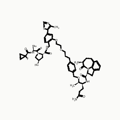 Cc1ncsc1-c1ccc(CNC(=O)[C@@H]2C[C@@H](O)CN2C(=O)[C@@H](NC(=O)C2(F)CC2)C(C)(C)C)c(OCCOCCCc2ccc(CO[C@H](C)[C@H](CCC(N)=O)NC(=O)[C@@H]3Cc4cccc5c4N3C(=O)[C@@H](N)CC5)cc2)c1